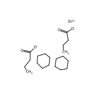 C1CCCCC1.C1CCCCC1.CCCC(=O)[O-].CCCC(=O)[O-].[Zn+2]